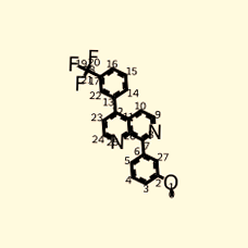 COc1cccc(-c2nccc3c(-c4cccc(C(F)(F)F)c4)ccnc23)c1